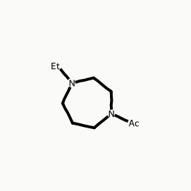 CCN1CCCN(C(C)=O)CC1